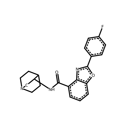 O=C(NC1CN2CCC1CC2)c1cccc2oc(-c3ccc(F)cc3)nc12